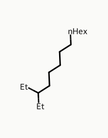 [CH2]CCCCCCCCCCC(C[CH2])CC